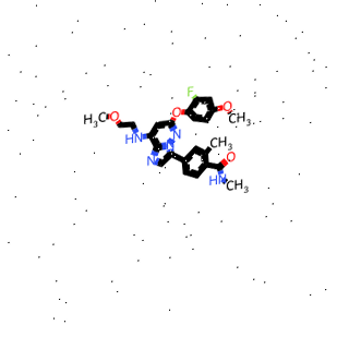 CNC(=O)c1ccc(-c2cnc3c(NCCOC)cc(Oc4ccc(OC)cc4F)nn23)cc1C